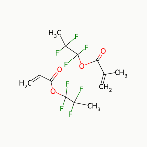 C=C(C)C(=O)OC(F)(F)C(C)(F)F.C=CC(=O)OC(F)(F)C(C)(F)F